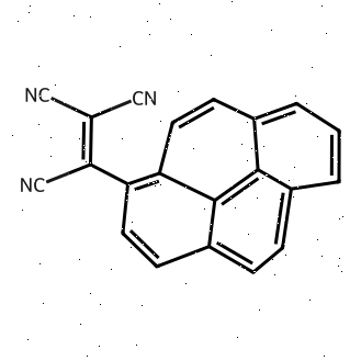 N#CC(C#N)=C(C#N)c1ccc2ccc3cccc4ccc1c2c34